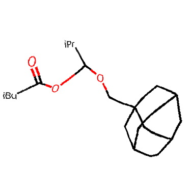 CCC(C)C(=O)OC(OCC12CC3CC(CC(C3)C1)C2)C(C)C